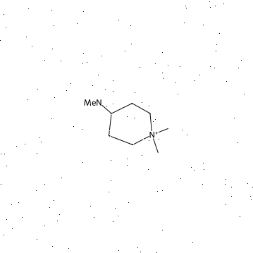 CNC1CC[N+](C)(C)CC1